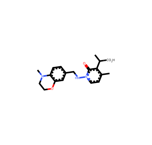 Cc1ccn(NCc2ccc3c(c2)OCCN3C)c(=O)c1C(C)C(=O)O